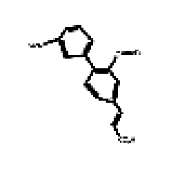 CCCCOc1cc(C=CC(=O)O)ccc1-c1cccc(NC)c1